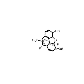 CN1CC[C@]23C4=C5C=CC(O)C4O[C@H]2[C@@H](O)C=CC3[C@H]1C5